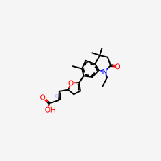 CCN1C(=O)CC(C)(C)c2cc(C)c(C3=CCC(/C=C/C(=O)O)O3)cc21